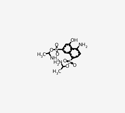 CC(N)OS(=O)(=O)c1cc(O)c2c(N)ccc(S(=O)(=O)OC(C)N)c2c1